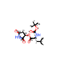 CC(C)C[C@@H](NC(=O)OC(C)(C)C)C(=O)OC1CC(=O)NC1=O